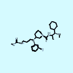 CN[C@H](C1CCCCC1)C(C)NC(=O)N1CCCC(N(CCCNC(=O)OC)c2cccc(Cl)c2)C1